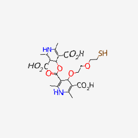 CC1=C(C(=O)O)C(OC(=O)C2=C(C)NC(C)=C(C(=O)O)C2OCCOCCS)C(C(=O)O)=C(C)N1